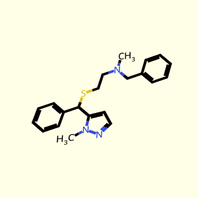 CN(CCSC(c1ccccc1)c1ccnn1C)Cc1ccccc1